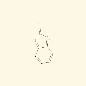 O=C1N=c2ccccc2=[N+]1